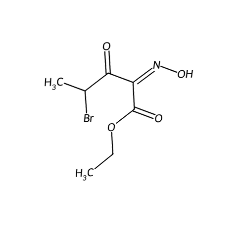 CCOC(=O)/C(=N\O)C(=O)C(C)Br